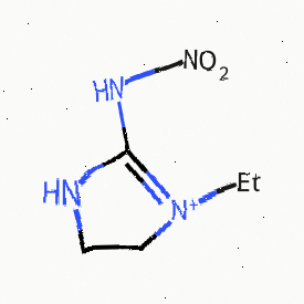 CC[N+]1=C(N[N+](=O)[O-])NCC1